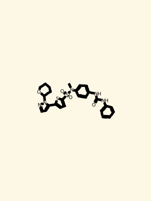 CN(c1ccc(NC(=O)Nc2ccccc2)cc1)S(=O)(=O)c1ccc(-c2ccnn2C2CCCCO2)s1